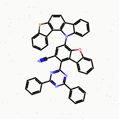 N#Cc1cc(-n2c3ccccc3c3ccc4sc5ccccc5c4c32)c2oc3ccccc3c2c1-c1nc(-c2ccccc2)nc(-c2ccccc2)n1